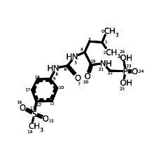 CC(C)CC(NC(=O)Nc1ccc(S(C)(=O)=O)cc1)C(=O)NCP(=O)(O)O